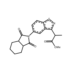 COC(=O)C(C)c1nsc2ccc(N3C(=O)C4CCCCC4C3=O)cc12